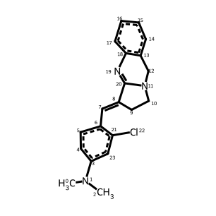 CN(C)c1ccc(/C=C2\CCN3Cc4ccccc4N=C23)c(Cl)c1